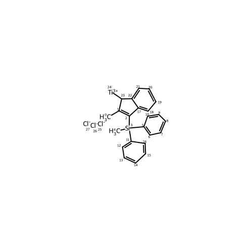 CC1=C([Si](C)(c2ccccc2)c2ccccc2)c2ccccc2[CH]1[Ti+3].[Cl-].[Cl-].[Cl-]